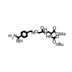 CCCCOC(=O)NC(CNC(=O)CO/N=C/c1ccc(C(=N)N)cc1)C(=O)OC